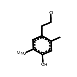 COc1cc(CCCl)c(C)cc1O